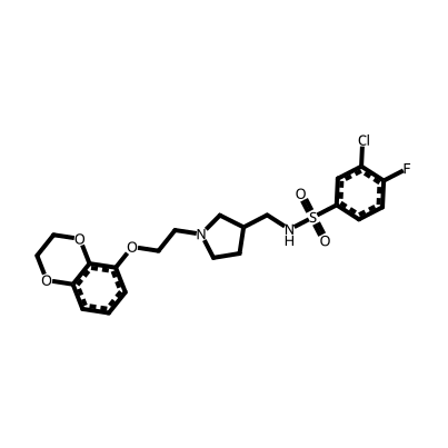 O=S(=O)(NCC1CCN(CCOc2cccc3c2OCCO3)C1)c1ccc(F)c(Cl)c1